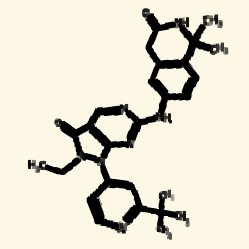 CCn1c(=O)c2cnc(Nc3ccc4c(c3)CC(=O)NC4(C)C)nc2n1-c1ccnc(C(C)(C)C)c1